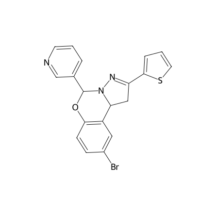 Brc1ccc2c(c1)C1CC(c3cccs3)=NN1C(c1cccnc1)O2